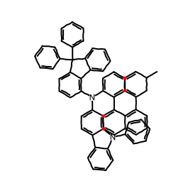 CC1C=CC=C(c2cccc3cccc(-c4ccccc4N(c4ccc5c6ccccc6n(-c6ccccc6)c5c4)c4cccc5c4-c4ccccc4C5(c4ccccc4)c4ccccc4)c23)C1